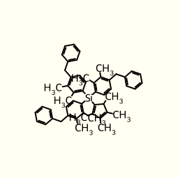 CC1=C(C)C(C)C([Si](c2ccc(Cc3ccccc3)c(C)c2C)(c2ccc(Cc3ccccc3)c(C)c2C)c2ccc(Cc3ccccc3)c(C)c2C)=C1C